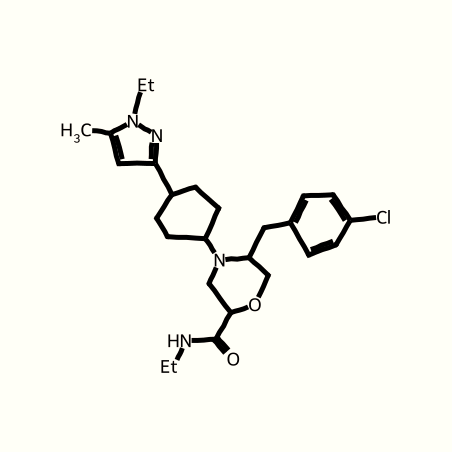 CCNC(=O)C1CN(C2CCC(c3cc(C)n(CC)n3)CC2)C(Cc2ccc(Cl)cc2)CO1